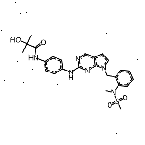 CN(c1ccccc1Cn1ccc2cnc(Nc3ccc(NC(=O)C(C)(C)O)cc3)nc21)S(C)(=O)=O